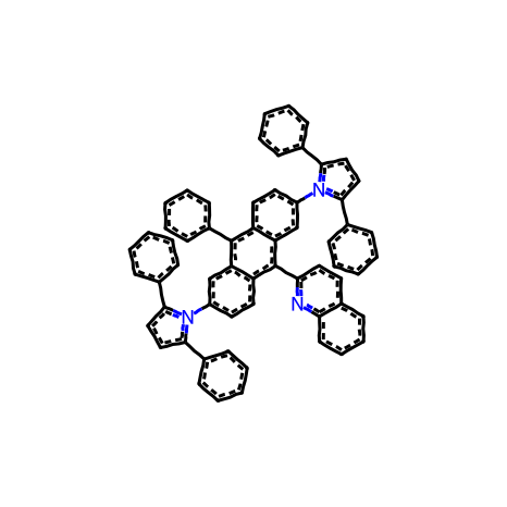 c1ccc(-c2c3cc(-n4c(-c5ccccc5)ccc4-c4ccccc4)ccc3c(-c3ccc4ccccc4n3)c3cc(-n4c(-c5ccccc5)ccc4-c4ccccc4)ccc23)cc1